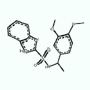 COc1ccc(C(C)NS(=O)(=O)c2nc3ccccc3[nH]2)cc1OC